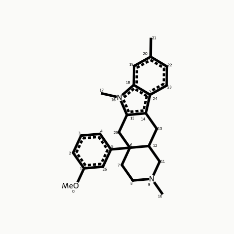 COc1cccc(C23CCN(C)CC2Cc2c(n(C)c4cc(C)ccc24)C3)c1